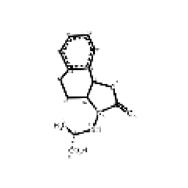 C[C@H](NN1C(=O)OC2c3ccccc3CCC21)C(=O)O